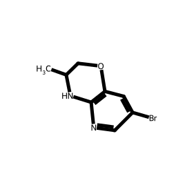 CC1COc2cc(Br)cnc2N1